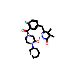 Cc1c(Cc2ccc(F)c(C(=O)N3CCN(C4CCCCCC4)C(=O)C3)c2)n[nH]c(=O)c1C